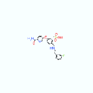 CS(=O)(=O)O.NC(=O)c1ccc(Oc2ccc(CNCCc3cccc(F)c3)cc2)cn1